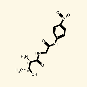 C[C@@H](O)[C@H](N)C(=O)NCC(=O)Nc1ccc([N+](=O)[O-])cc1